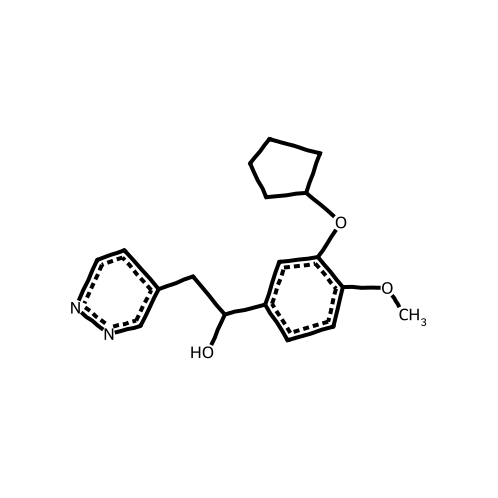 COc1ccc(C(O)Cc2ccnnc2)cc1OC1CCCC1